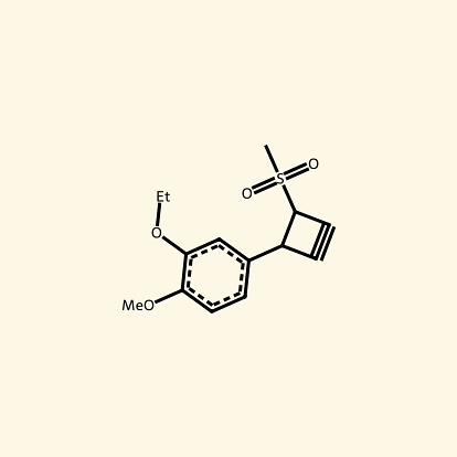 CCOc1cc(C2C#CC2S(C)(=O)=O)ccc1OC